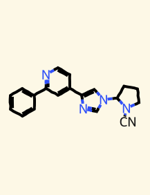 N#CN1CCCC1n1cnc(-c2ccnc(-c3ccccc3)c2)c1